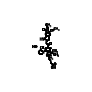 Br.CCOc1cc2c(cc1C(=O)NC)C(=N)N(CC(=O)c1cc(N3CCCC3C)c(OCCCCC(=O)O)c(C(C)(C)C)c1)C2